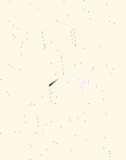 CCCC[C@H](NCl)c1ccccc1